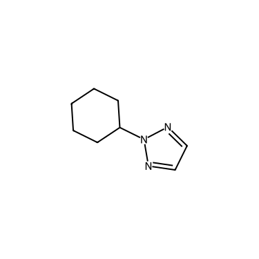 c1cnn(C2CCCCC2)n1